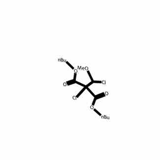 CCCCOC(=O)C(Cl)(C(=O)OCCCC)C(Cl)OC